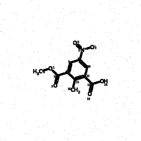 COC(=O)c1cc([N+](=O)[O-])cc(C(=O)O)c1C